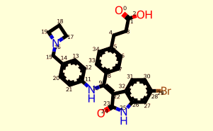 O=C(O)CCc1ccc(/C(Nc2ccc(CN3CCC3)cc2)=C2/C(=O)Nc3cc(Br)ccc32)cc1